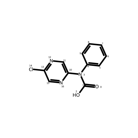 O=C(O)N(c1ccccc1)c1cnc(Cl)cn1